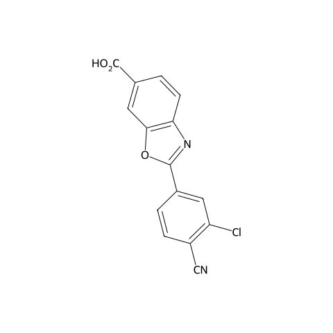 N#Cc1ccc(-c2nc3ccc(C(=O)O)cc3o2)cc1Cl